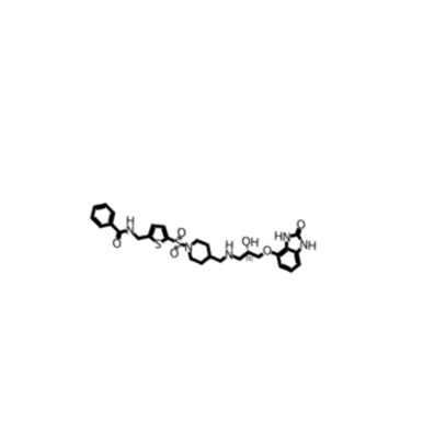 O=C(NCc1ccc(S(=O)(=O)N2CCC(CNC[C@H](O)COc3cccc4[nH]c(=O)[nH]c34)CC2)s1)c1ccccc1